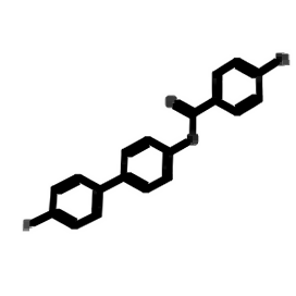 CCc1ccc(C(=O)Oc2ccc(-c3ccc(F)cc3)cc2)cc1